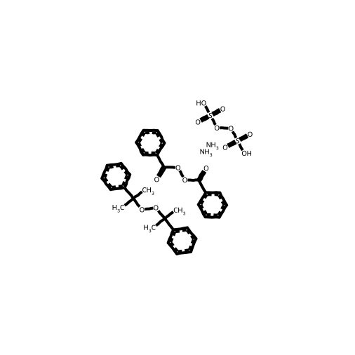 CC(C)(OOC(C)(C)c1ccccc1)c1ccccc1.N.N.O=C(OOC(=O)c1ccccc1)c1ccccc1.O=S(=O)(O)OOS(=O)(=O)O